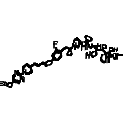 CCOc1cnc(N2CCC(CCCOc3ccc(CC(=O)N4CC[C@H](C(=O)NC[C@H](O)[C@@H](O)[C@H](O)[C@H](O)CO)C4)c(F)c3)CC2)nc1